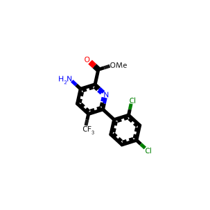 COC(=O)c1nc(-c2ccc(Cl)cc2Cl)c(C(F)(F)F)cc1N